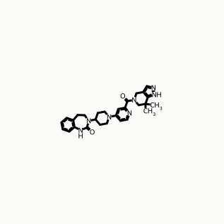 CC1(C)CN(C(=O)c2cc(N3CCC(N4CCc5ccccc5NC4=O)CC3)ccn2)Cc2cn[nH]c21